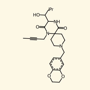 CC#CCN1C(=O)C(C(O)C(C)C)NC(=O)C12CCN(Cc1ccc3c(c1)OCCO3)CC2